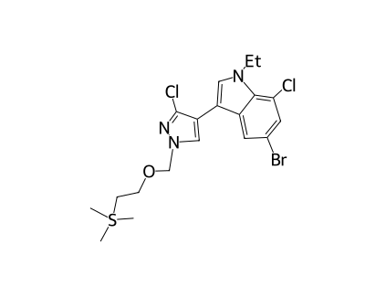 CCn1cc(-c2cn(COCCS(C)(C)C)nc2Cl)c2cc(Br)cc(Cl)c21